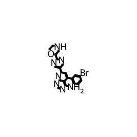 Nc1ncnc2nc(-c3cnc(C4CNCCO4)nc3)cc(-c3cccc(Br)c3)c12